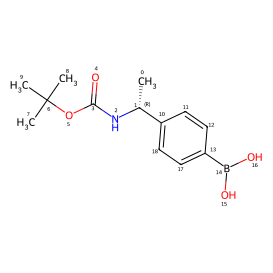 C[C@@H](NC(=O)OC(C)(C)C)c1ccc(B(O)O)cc1